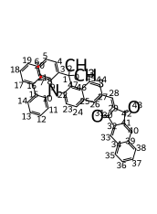 CC1(C)c2ccccc2N(c2ccccc2-c2ccccc2)c2ccc3cc(C=C4C(=O)c5cc6ccccc6cc5C4=O)ccc3c21